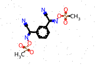 CS(=O)(=O)O/N=C(\C#N)c1cccc(/C(C#N)=N\OS(C)(=O)=O)c1